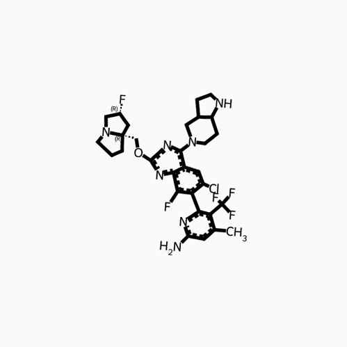 Cc1cc(N)nc(-c2c(Cl)cc3c(N4CCC5NCCC5C4)nc(OC[C@]45CCCN4C[C@H](F)C5)nc3c2F)c1C(F)(F)F